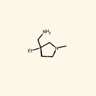 CCC1(CN)CCN(C)C1